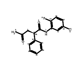 NC(=O)C[C@@H](C(=O)Nc1cc(Cl)ccc1F)c1ccccc1